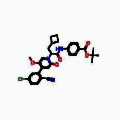 COc1cn(C(CC2CCC2)C(=O)Nc2ccc(C(=O)OC(C)(C)C)cc2)c(=O)cc1-c1cc(Cl)ccc1C#N